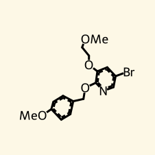 COCCOc1cc(Br)cnc1OCc1ccc(OC)cc1